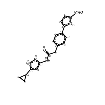 O=Cc1ccc(-c2ccc(CC(=O)Nc3cc(C4CC4)[nH]n3)cc2)o1